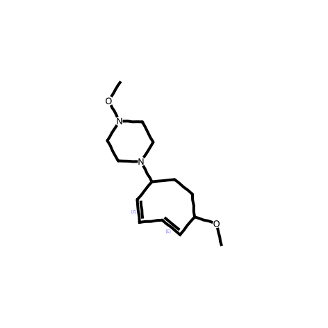 COC1/C=C/C=C\C(N2CCN(OC)CC2)CC1